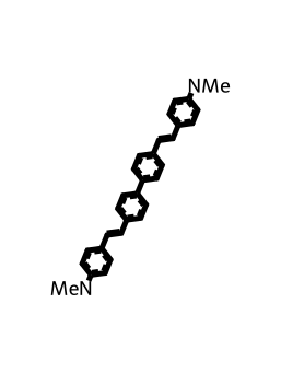 CNc1ccc(C=Cc2ccc(-c3ccc(C=Cc4ccc(NC)cc4)cc3)cc2)cc1